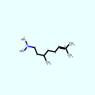 CCCN(CCC)CCC(C)CCC=C(C)C